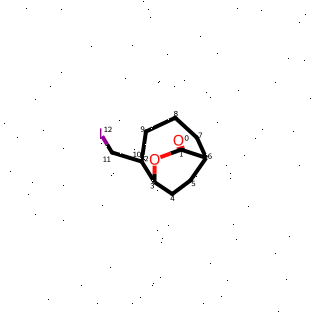 O=C1OC2CCC1CCCC2CI